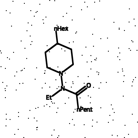 CCCCCCC1CCN(N(CC)C(=O)CCCCC)CC1